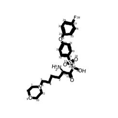 N[C@H](CCCCN1CCOCC1)C(=O)N(O)S(=O)(=O)c1ccc(Oc2ccc(F)cc2)cc1